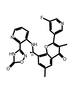 Cc1cc([C@@H](C)Nc2cccnc2-c2noc(=O)[nH]2)c2oc(-c3cncc(F)c3)c(C)c(=O)c2c1